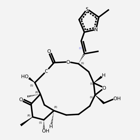 C/C(=C\c1csc(C)n1)[C@@H]1C[C@@H]2O[C@]2(CO)CCC[C@@H]2C[C@@](C)(C(=O)[C@H](C)[C@H]2O)[C@@H](O)CC(=O)O1